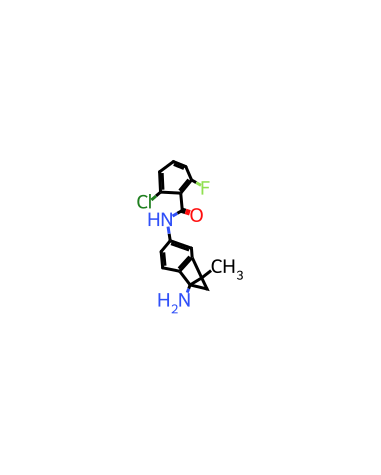 CC12CC1(N)c1ccc(NC(=O)c3c(F)cccc3Cl)cc12